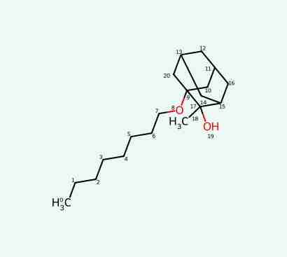 CCCCCCCCOC12CC3CC(CC(C3)C1(C)O)C2